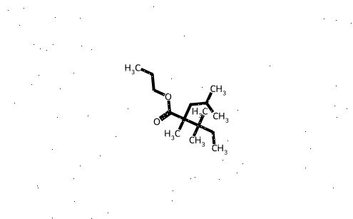 CCCOC(=O)C(C)(CC(C)C)C(C)(C)CC